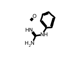 C=O.N=C(N)Nc1ccccc1